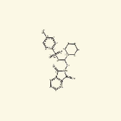 O=C1c2ccccc2C(=O)N1CC(CS(=O)(=O)c1ccc(Cl)cc1)N1CCCCC1